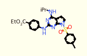 CCOC(=O)c1ccc(Nc2nc(NC(C)C)c3ccn(S(=O)(=O)c4ccc(C)cc4)c3n2)cc1